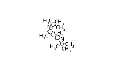 CC1=C(C)C(C)=C2C1=Nc1cc(C)c(Cc3cc4c(cc3C)N=C3C(C)=C(C)C(C)=C34)cc12